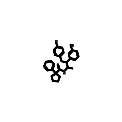 CC(NC(=O)C1(c2cccnc2)CCCC1)C(Cc1ccc(Cl)cc1)c1cccc(C#N)c1